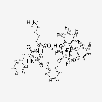 NCCCC[C@H](NC(=O)[C@H](Cc1ccccc1)NC(=O)OCc1ccccc1)C(=O)O.O=C(C(F)(F)Oc1ccc(F)c(F)c1F)C(F)(F)Oc1ccc(F)c(F)c1F